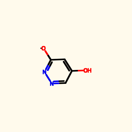 [O]c1cc(O)cnn1